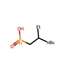 CCCCC(CC)C[PH](=O)O